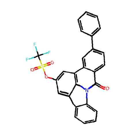 O=c1c2ccc(-c3ccccc3)cc2c2cc(OS(=O)(=O)C(F)(F)F)cc3c4ccccc4n1c23